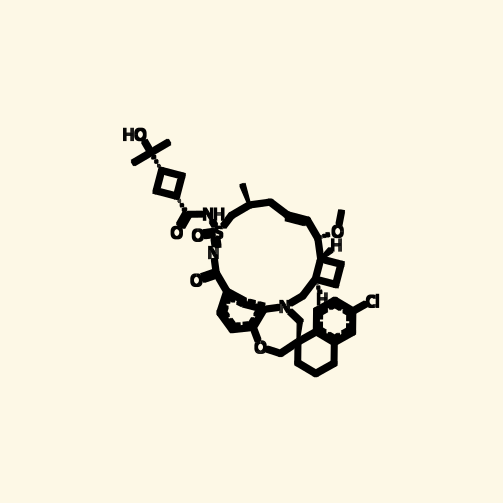 CO[C@H]1/C=C/C[C@H](C)CS(=O)(NC(=O)[C@H]2C[C@@H](C(C)(C)O)C2)=NC(=O)c2ccc3c(c2)N(C[C@@H]2CC[C@H]21)C[C@@]1(CCCc2cc(Cl)ccc21)CO3